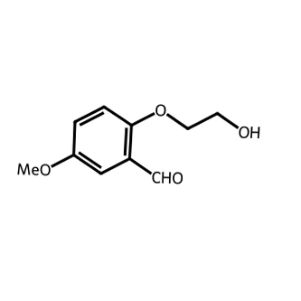 COc1ccc(OCCO)c(C=O)c1